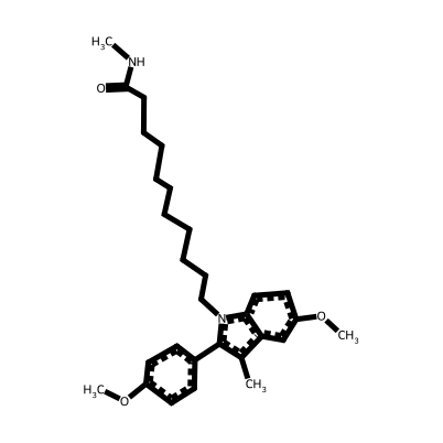 CNC(=O)CCCCCCCCCCn1c(-c2ccc(OC)cc2)c(C)c2cc(OC)ccc21